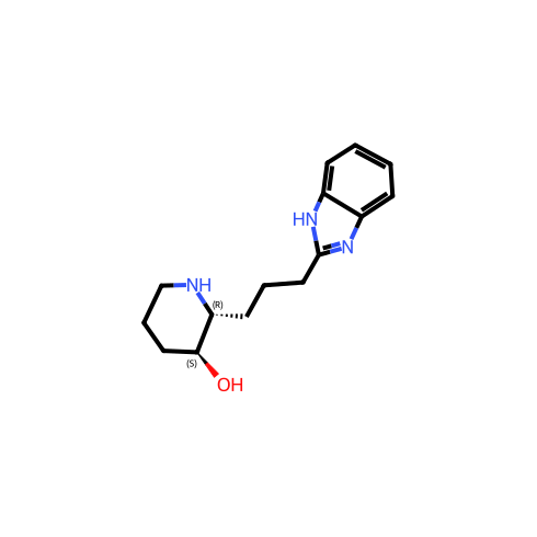 O[C@H]1CCCN[C@@H]1CCCc1nc2ccccc2[nH]1